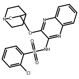 O=S(=O)(Nc1nc2ccccc2nc1OC1CN2CCC1CC2)c1ccccc1Cl